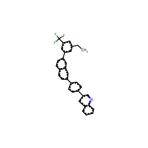 CCc1cc(-c2ccc3ccc(-c4ccc(-c5cnc6ccccc6c5)cc4)cc3c2)cc(C(F)(F)F)c1